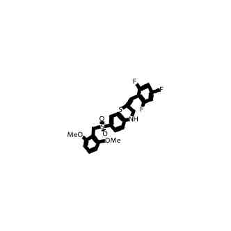 COc1cccc(OC)c1CS(=O)(=O)c1ccc2c(c1)SC(=Cc1c(F)cc(F)cc1F)CN2